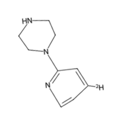 [2H]c1ccnc(N2CCNCC2)c1